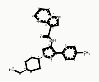 Cc1ccc(-c2nn([C@H]3CC[C@H](CO)CC3)cc2NC(=O)c2cnn3cccnc23)nc1